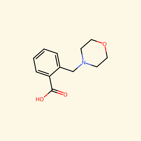 O=C(O)c1ccccc1CN1CCOCC1